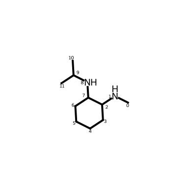 CNC1CCCCC1NC(C)C